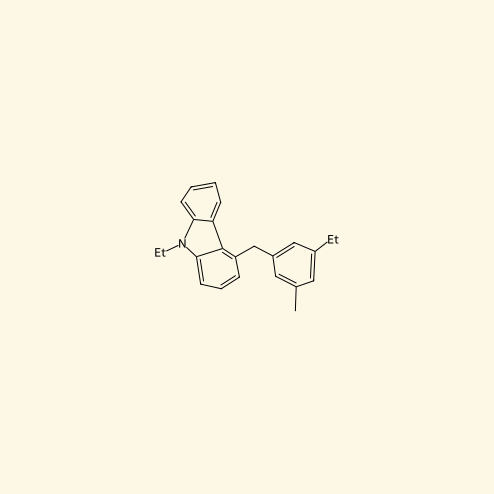 CCc1cc(C)cc(Cc2cccc3c2c2ccccc2n3CC)c1